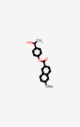 COc1ccc2cc(C(=O)Oc3ccc(C(C)O)cc3)ccc2c1